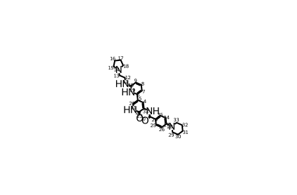 O=C(Nc1cc(C2=CC=CC(NCCN3CCCC3)N2)c[nH]c1=O)c1ccc(N2CCCCC2)cc1